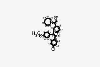 COc1ccc(-c2c(-c3ccc(Cl)cc3)nc3ccc(C(C=O)N4CCCCCC4)cn23)cc1